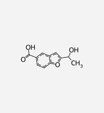 CC(O)c1cc2cc(C(=O)O)ccc2o1